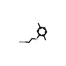 CCCCCCCCOc1cc(C)ccc1C